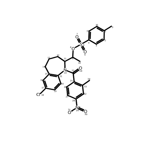 Cc1ccc(S(=O)(=O)OC(C)C2CCCc3cc(Cl)ccc3N2C(=O)c2ccc([N+](=O)[O-])cc2C)cc1